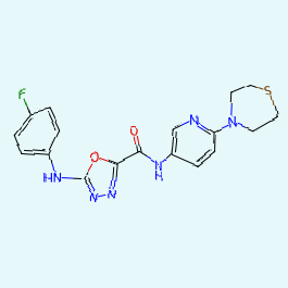 O=C(Nc1ccc(N2CCSCC2)nc1)c1nnc(Nc2ccc(F)cc2)o1